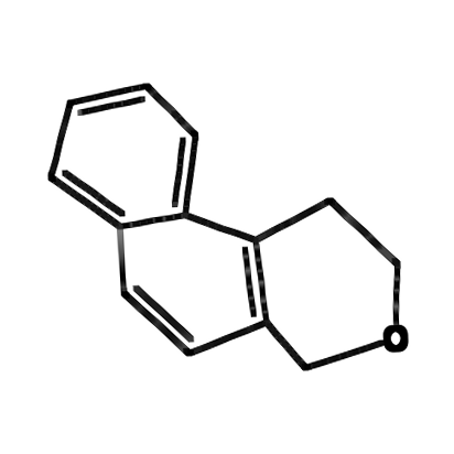 c1ccc2c3c(ccc2c1)COCC3